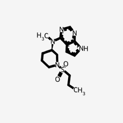 CCCS(=O)(=O)N1CCC[C@@H](N(C)c2ncnc3[nH]ccc23)C1